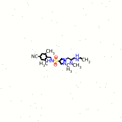 C=CN/C=C(/Cn1cc(S(=O)(=O)NCc2c(C)cc(C#N)cc2C)cn1)N(C)C